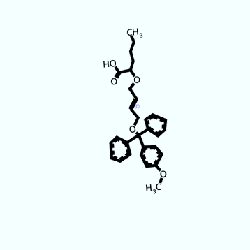 CCCCC(OC/C=C/COC(c1ccccc1)(c1ccccc1)c1ccc(OC)cc1)C(=O)O